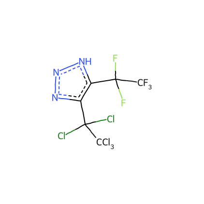 FC(F)(F)C(F)(F)c1[nH]nnc1C(Cl)(Cl)C(Cl)(Cl)Cl